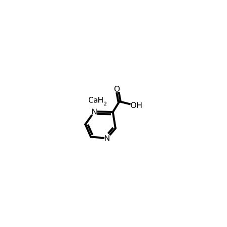 O=C(O)c1cnccn1.[CaH2]